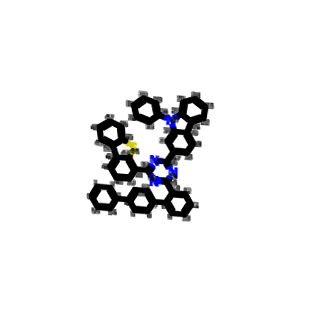 c1ccc(-c2ccc(-c3ccccc3-c3nc(-c4ccc5c6ccccc6n(-c6ccccc6)c5c4)nc(-c4cccc5c4sc4ccccc45)n3)cc2)cc1